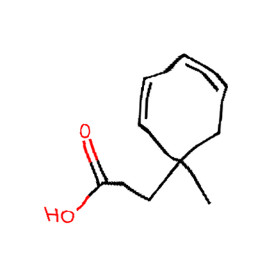 CC1(CC(=O)O)C=CC=CC1